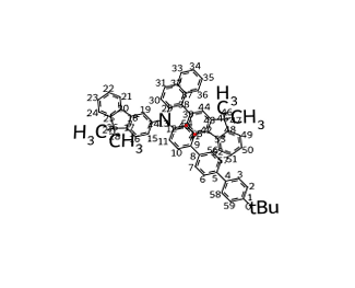 CC(C)(C)c1ccc(-c2ccc(-c3ccc(N(c4ccc5c(c4)-c4ccccc4C5(C)C)c4ccc5ccccc5c4-c4ccc5c(c4)C(C)(C)c4ccccc4-5)cc3)cc2)cc1